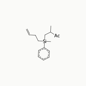 C=CCC[Si](C)(CC(C)C(C)=O)c1ccccc1